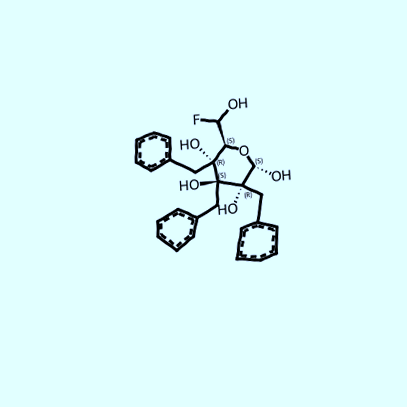 OC(F)[C@H]1O[C@H](O)[C@@](O)(Cc2ccccc2)[C@](O)(Cc2ccccc2)[C@@]1(O)Cc1ccccc1